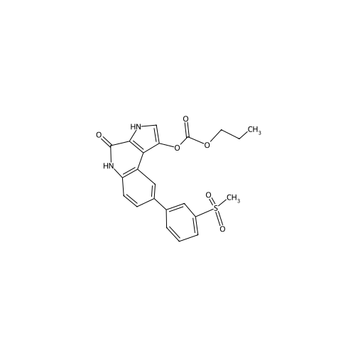 CCCOC(=O)Oc1c[nH]c2c(=O)[nH]c3ccc(-c4cccc(S(C)(=O)=O)c4)cc3c12